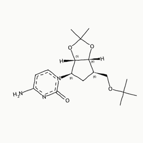 CC(C)(C)OC[C@H]1C[C@@H](n2ccc(N)nc2=O)[C@@H]2OC(C)(C)O[C@H]12